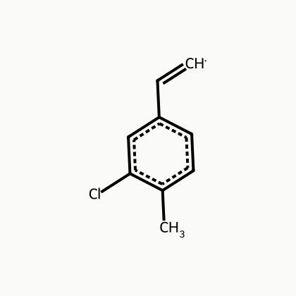 [CH]=Cc1ccc(C)c(Cl)c1